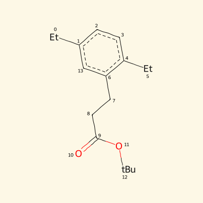 CCc1ccc(CC)c(CCC(=O)OC(C)(C)C)c1